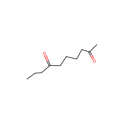 CCCC(=O)CCCCC(C)=O